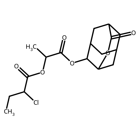 CCC(Cl)C(=O)OC(C)C(=O)OC1C2CC3CC(C2)C(=O)OC1C3